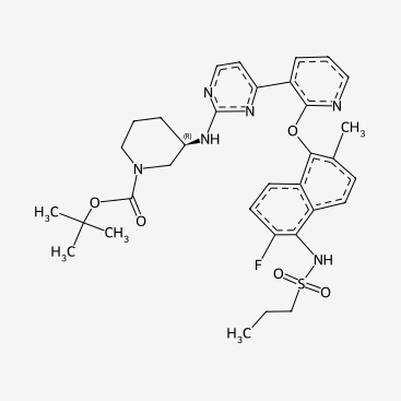 CCCS(=O)(=O)Nc1c(F)ccc2c(Oc3ncccc3-c3ccnc(N[C@@H]4CCCN(C(=O)OC(C)(C)C)C4)n3)c(C)ccc12